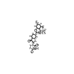 O=C1CCC(N2Cc3cc(C(=O)NC(c4ccc(F)cc4F)C4CC4)ccc3C2=O)C(=O)N1